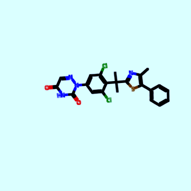 Cc1nc(C(C)(C)c2c(Cl)cc(-n3ncc(=O)[nH]c3=O)cc2Cl)sc1-c1ccccc1